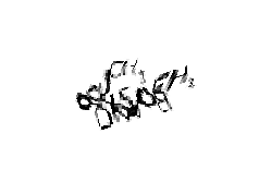 CCCCN(C(=O)c1ccccc1Cl)c1nnc(-c2ccc(OC)c(Cl)c2)s1